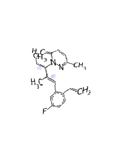 C=Cc1ccc(F)cc1/C=C(C)/C(=C/C)N1N=C(C)C=CC1=C